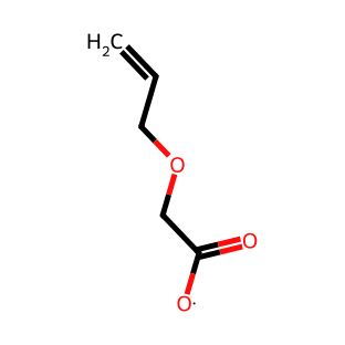 C=CCOCC([O])=O